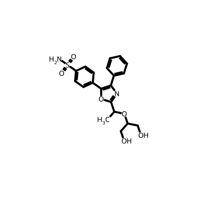 CC(OC(CO)CO)c1nc(-c2ccccc2)c(-c2ccc(S(N)(=O)=O)cc2)o1